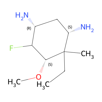 CCC1(C)[C@H](OC)C(F)[C@H](N)C[C@@H]1N